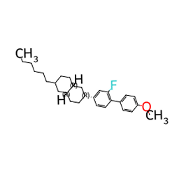 CCCCCCC1CC[C@@H]2C[C@H](c3ccc(-c4ccc(OC)cc4)c(F)c3)CC[C@@H]2C1